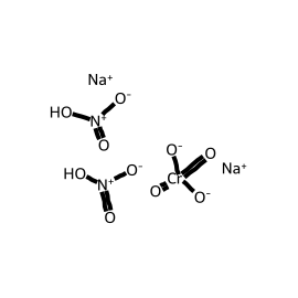 O=[N+]([O-])O.O=[N+]([O-])O.[Na+].[Na+].[O]=[Cr](=[O])([O-])[O-]